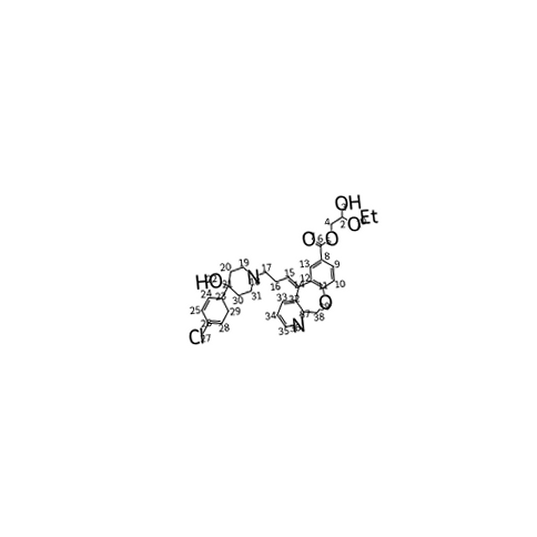 CCOC(O)COC(=O)c1ccc2c(c1)/C(=C/CCN1CCC(O)(C3C=CC(Cl)=CC3)CC1)c1cccnc1CO2